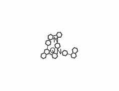 c1ccc(-c2cc3ccccc3c3c2oc2c(N(c4ccc(-c5cccc6ccccc56)cc4)c4ccc(-n5c6ccccc6c6ccccc65)cc4)cccc23)cc1